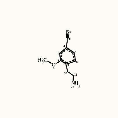 COc1cc(C#N)ccc1CCN